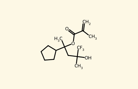 C=C(C)C(=O)OC(C)(CC(C)(O)C(F)(F)F)C1CCCC1